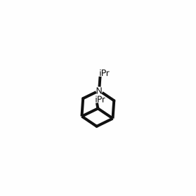 CC(C)C1C2CC1CN(C(C)C)C2